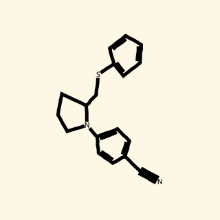 N#Cc1ccc(N2CCCC2CSc2ccccc2)cc1